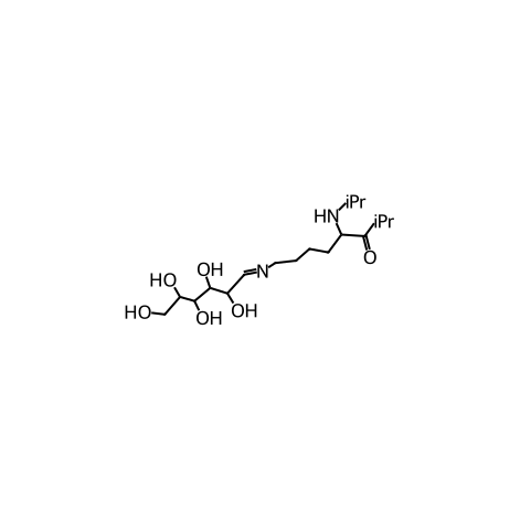 CC(C)NC(CCCC/N=C/C(O)C(O)C(O)C(O)CO)C(=O)C(C)C